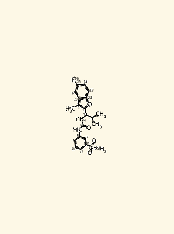 Cc1c(C(NC(=O)Nc2cccc(S(N)(=O)=O)c2)C(C)C)oc2ccc(F)cc12